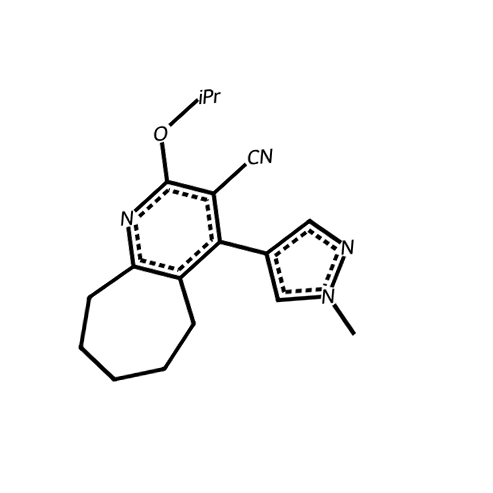 CC(C)Oc1nc2c(c(-c3cnn(C)c3)c1C#N)CCCCC2